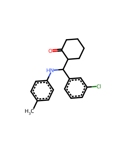 Cc1ccc(NC(c2cccc(Cl)c2)C2CCCCC2=O)cc1